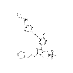 CS(=O)(=O)N1CCc2c(c(-c3ccc(Cl)c(C#Cc4ccc(CNC5CCC5)cc4)c3)nn2CCCN2CCOCC2)C1